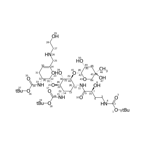 CC(C)(C)OC(=O)NCC[C@H](O)C(=O)N[C@@H]1C[C@H](NC(=O)OC(C)(C)C)[C@@H](O[C@H]2OC(CNCCO)=CC[C@H]2NC(=O)OC(C)(C)C)[C@H](O)[C@H]1O[C@H]1OC[C@](C)(O)[CH][C@H]1O